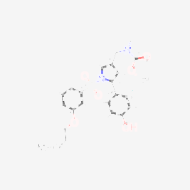 COCCOc1cccc(S(=O)(=O)n2cc(CN(C)C(=O)OC(C)(C)C)cc2-c2ccc(O)cc2F)c1